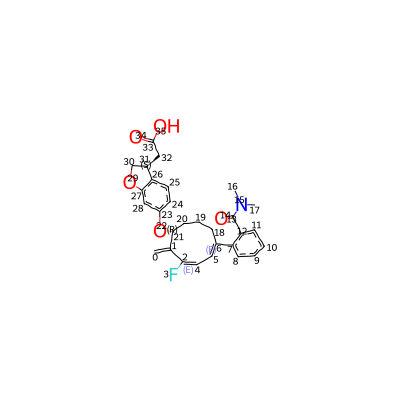 C=C1/C(F)=C\C=C(\c2ccccc2C(=O)N(C)C)CCC[C@H]1Oc1ccc2c(c1)OC[C@H]2CC(=O)O